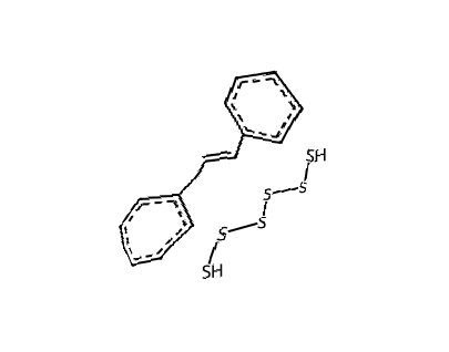 C(=Cc1ccccc1)c1ccccc1.SSSSSS